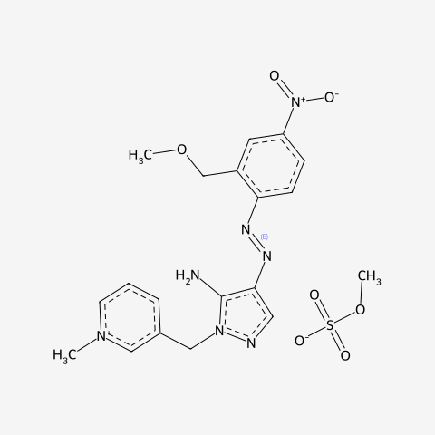 COCc1cc([N+](=O)[O-])ccc1/N=N/c1cnn(Cc2ccc[n+](C)c2)c1N.COS(=O)(=O)[O-]